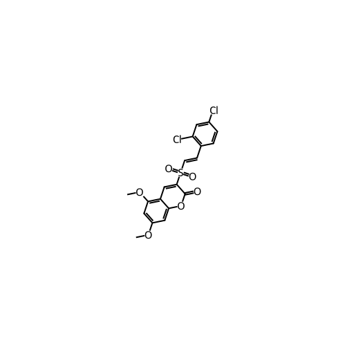 COc1cc(OC)c2cc(S(=O)(=O)C=Cc3ccc(Cl)cc3Cl)c(=O)oc2c1